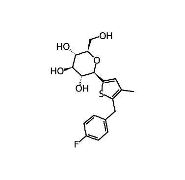 Cc1cc([C@@H]2O[C@H](CO)[C@@H](O)[C@H](O)[C@H]2O)sc1Cc1ccc(F)cc1